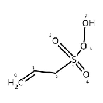 C=CCS(=O)(=O)OO